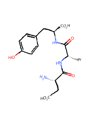 CC(C)[C@H](NC(=O)[C@@H](N)CC(=O)O)C(=O)N[C@@H](Cc1ccc(O)cc1)C(=O)O